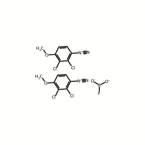 COc1ccc([N+]#N)c(Cl)c1Cl.COc1ccc([N+]#N)c(Cl)c1Cl.[O-]B([O-])F